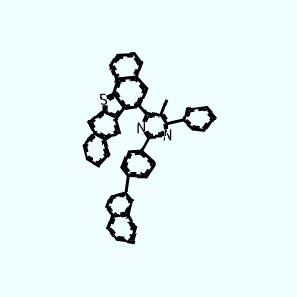 Cc1c(-c2ccccc2)nc(-c2ccc(-c3ccc4ccccc4c3)cc2)nc1-c1cc2ccccc2c2sc3cc4ccccc4cc3c12